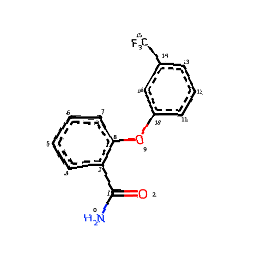 NC(=O)c1ccccc1Oc1cccc(C(F)(F)F)c1